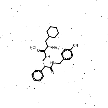 Cl.N#Cc1ccc(CNC(=O)[C@@H](CNC(=O)[C@H](N)CC2CCCCC2)c2ccccc2)cc1